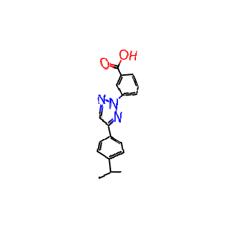 CC(C)c1ccc(-c2cnn(-c3cccc(C(=O)O)c3)n2)cc1